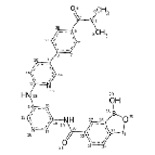 CN(C)C(=O)c1ccc(-c2ccc(Nc3cncc(NC(=O)c4ccc5c(c4)B(O)OC5)c3)nc2)cc1